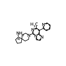 Cc1nc(N2CCC3(CCC[C@H]3N)CC2)n2ccnc2c1-c1ccccn1